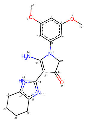 COc1cc(OC)cc(N2CC(=O)C(c3nc4c([nH]3)CCCC4)=C2N)c1